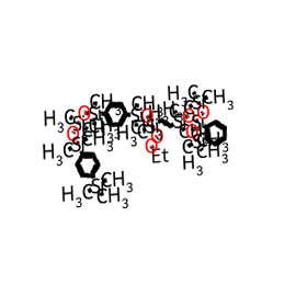 CCOO[Si](C)(CC[Si](C)(C)O[Si](O[Si](C)(C)C)(O[Si](C)(C)C)c1ccccc1)O[Si](C)(C)c1ccc([Si](C)(C)O[Si](C)(C)O[Si](C)(C)c2ccc([Si](C)(C)C)cc2)cc1